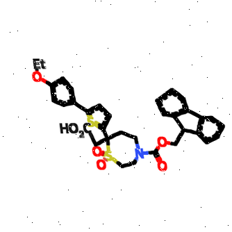 CCOc1ccc(-c2ccc(C3(CC(=O)O)CCN(C(=O)OCC4c5ccccc5-c5ccccc54)CCS3(=O)=O)s2)cc1